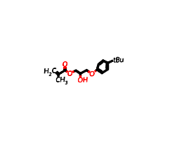 C=C(C)C(=O)OCC(O)COc1ccc(C(C)(C)C)cc1